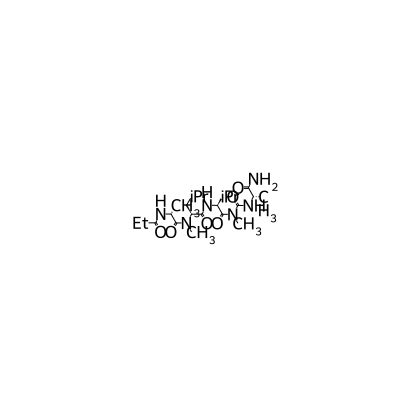 CCC(=O)N[C@H](C)C(=O)N(C)[C@@H](CC(C)C)C(=O)N[C@H](C(=O)N(C)C(=O)N[C@@H](C)C(N)=O)C(C)C